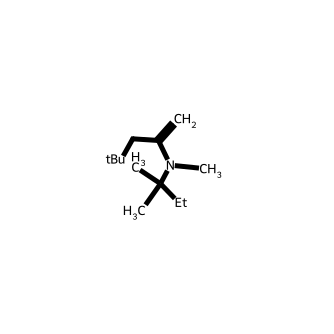 C=C(CC(C)(C)C)N(C)C(C)(C)CC